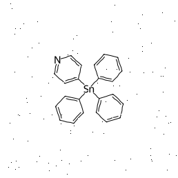 c1cc[c]([Sn]([c]2ccccc2)([c]2ccccc2)[c]2ccncc2)cc1